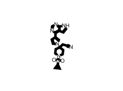 N#CCC1(n2ccc(-c3ncnc4[nH]ccc34)c2)CCN(S(=O)(=O)C2CC2)CC1